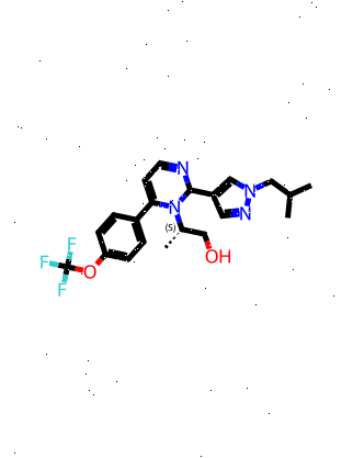 CC(C)Cn1cc(C2N=CC=C(c3ccc(OC(F)(F)F)cc3)N2[C@@H](C)CO)cn1